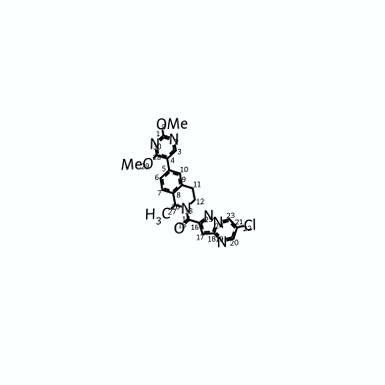 COc1ncc(-c2ccc3c(c2)CCN(C(=O)c2cc4ncc(Cl)cn4n2)C3C)c(OC)n1